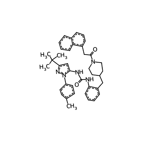 Cc1ccc(-n2nc(C(C)(C)C)cc2NC(=O)Nc2ccccc2CC2CCN(C(=O)Cc3cccc4ccccc34)CC2)cc1